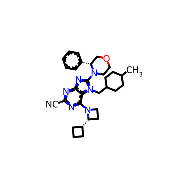 CC1CCC(Cn2c(N3CCOC[C@H]3c3ccccc3)nc3nc(C#N)nc(N4CC[C@@H]4C4CCC4)c32)CC1